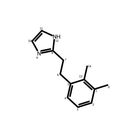 Cc1cccc(CCc2ncc[nH]2)c1C